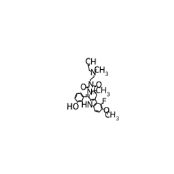 C#CCN(C)CCN1C(=O)N2[C@H](c3cccc(O)c3)c3[nH]c4ccc(OC)c(F)c4c3C[C@@]2(C)C1=O